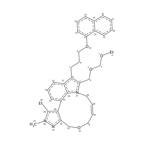 CCOCOCc1c(CCCOc2cccc3ccccc23)c2cccc3c2n1C/C=C\COCc1nn(C)c(CC)c1-3